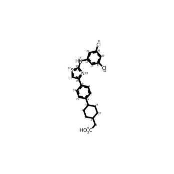 O=C(O)CC1CCC(c2ccc(-c3csc(Nc4cc(Cl)cc(Cl)c4)n3)cc2)CC1